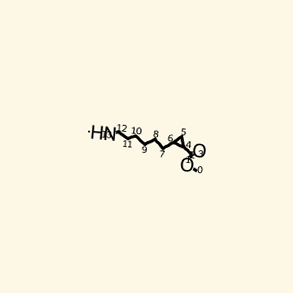 COC(=O)C1CC1CCCCCC[NH]